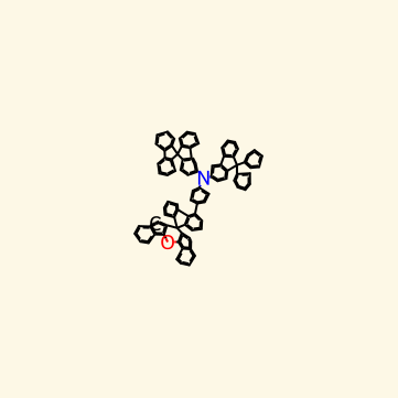 c1ccc(C2(c3ccccc3)c3ccccc3-c3cc(N(c4ccc(-c5cccc6c5-c5ccccc5C65c6ccc7ccccc7c6Oc6c5ccc5ccccc65)cc4)c4ccc5c(c4)-c4ccccc4C54c5ccccc5-c5ccccc54)ccc32)cc1